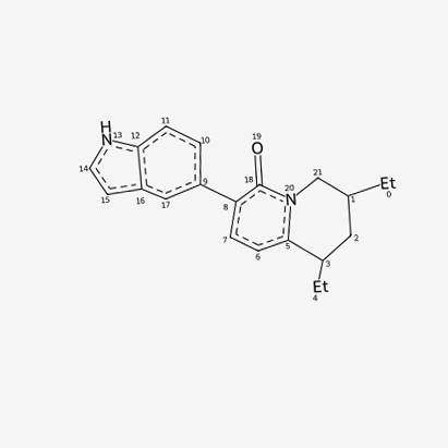 CCC1CC(CC)c2ccc(-c3ccc4[nH]ccc4c3)c(=O)n2C1